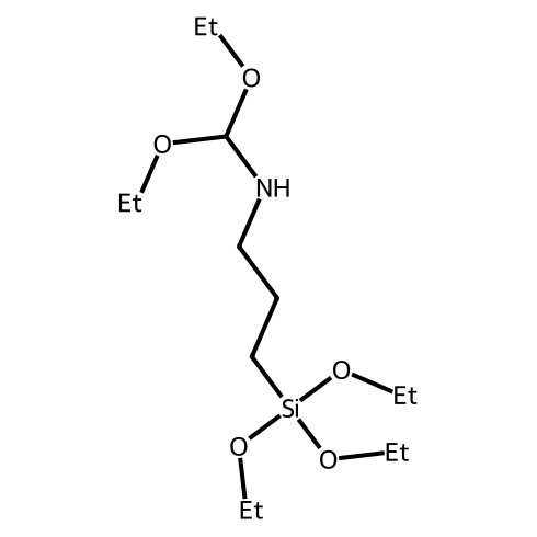 CCOC(NCCC[Si](OCC)(OCC)OCC)OCC